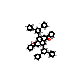 C1=C(c2ccccc2)C=C(c2cc3c4oc5ccccc5c4cc4c(-c5cc(-c6ccccc6)cc(-c6ccccc6)c5)cc5c6oc7ccccc7c6cc2c5c43)CC1c1ccccc1